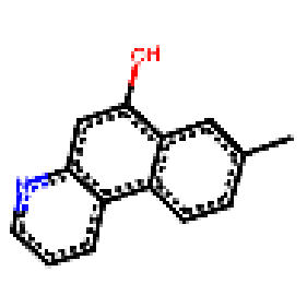 Cc1ccc2c(c1)c(O)cc1ncccc12